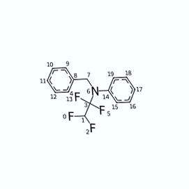 FC(F)C(F)(F)N(Cc1ccccc1)c1ccccc1